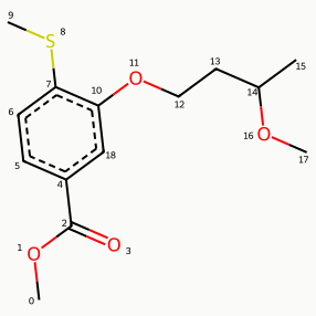 COC(=O)c1ccc(SC)c(OCCC(C)OC)c1